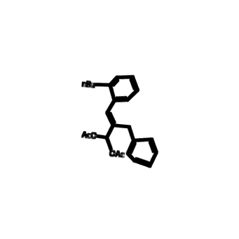 CCCCc1ccccc1/C=C(\Cc1ccccc1)C(OC(C)=O)OC(C)=O